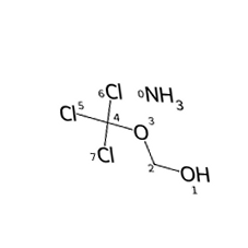 N.OCOC(Cl)(Cl)Cl